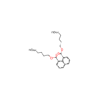 CCCCCCCCCCCCCCOC(=O)c1cccc2cccc(C(=O)OCCCCCCCCCCCCCC)c12